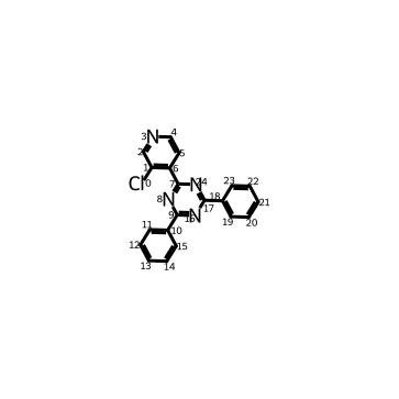 Clc1cnccc1-c1nc(-c2ccccc2)nc(-c2ccccc2)n1